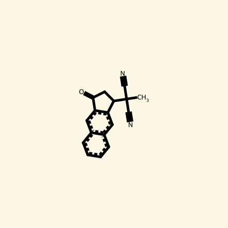 CC(C#N)(C#N)C1CC(=O)c2cc3ccccc3cc21